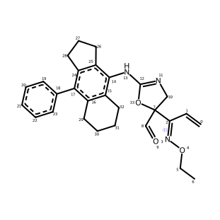 C=C/C(=N\OCC)C1(C=O)CN=C(Nc2c3c(c(-c4ccccc4)c4c2CCC4)CCCC3)O1